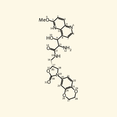 COc1ccc2nccc(C(O)C(N)C(=O)NC[C@@H]3CN(c4ccc5c(c4)OCCO5)C(=O)O3)c2n1